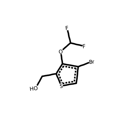 OCc1scc(Br)c1OC(F)F